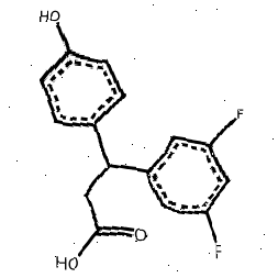 O=C(O)CC(c1ccc(O)cc1)c1cc(F)cc(F)c1